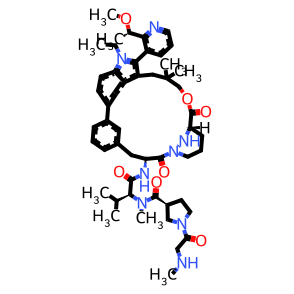 CCn1c(-c2cccnc2[C@H](C)OC)c2c3cc(ccc31)-c1cccc(c1)C[C@H](NC(=O)[C@H](C(C)C)N(C)C(=O)[C@H]1CCN(C(=O)CNC)C1)C(=O)N1CCC[C@H](N1)C(=O)OCC(C)(C)C2